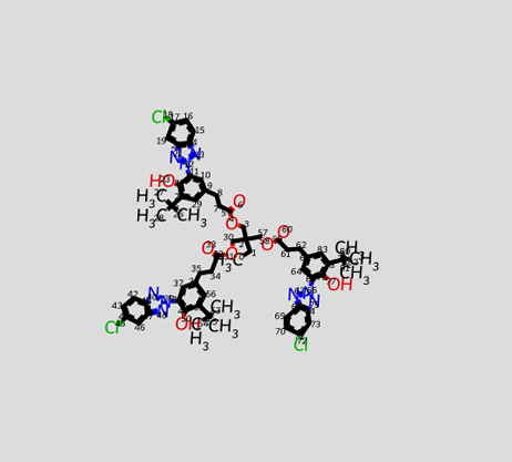 CCC(COC(=O)CCc1cc(-n2nc3ccc(Cl)cc3n2)c(O)c(C(C)(C)C)c1)(COC(=O)CCc1cc(-n2nc3ccc(Cl)cc3n2)c(O)c(C(C)(C)C)c1)COC(=O)CCc1cc(-n2nc3ccc(Cl)cc3n2)c(O)c(C(C)(C)C)c1